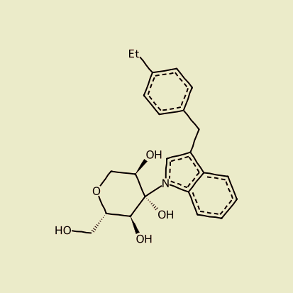 CCc1ccc(Cc2cn([C@]3(O)[C@H](O)CO[C@@H](CO)[C@@H]3O)c3ccccc23)cc1